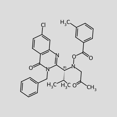 CC(=O)CN(OC(=O)c1cccc(C)c1)[C@@H](c1nc2cc(Cl)ccc2c(=O)n1Cc1ccccc1)C(C)C